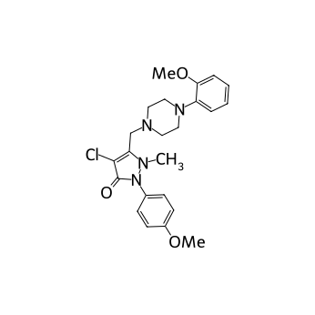 COc1ccc(-n2c(=O)c(Cl)c(CN3CCN(c4ccccc4OC)CC3)n2C)cc1